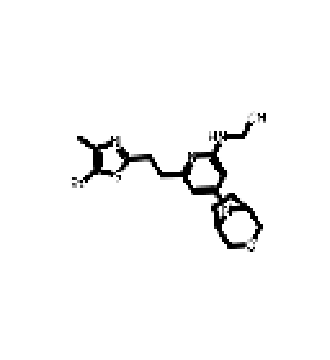 CCc1sc(CCc2cc(N3C4CCC3COC4)cc(NCC#N)n2)nc1C